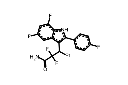 CCC(c1c(-c2ccc(F)cc2)[nH]c2c(F)cc(F)cc12)C(F)(F)C(N)=O